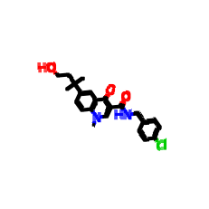 Cn1cc(C(=O)NCc2ccc(Cl)cc2)c(=O)c2cc(C(C)(C)CCO)ccc21